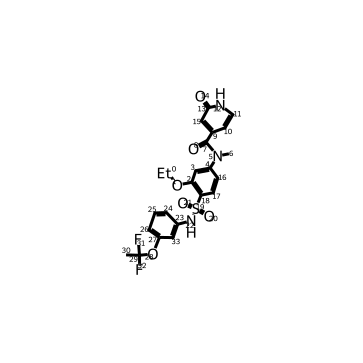 CCOc1cc(N(C)C(=O)c2cc[nH]c(=O)c2)ccc1S(=O)(=O)Nc1cccc(OC(C)(F)F)c1